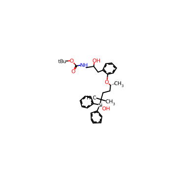 C[C@H](CCC(C)(C)[Si](O)(c1ccccc1)c1ccccc1)Oc1ccccc1CC(O)CNC(=O)OC(C)(C)C